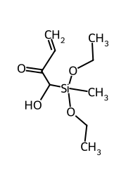 C=CC(=O)C(O)[Si](C)(OCC)OCC